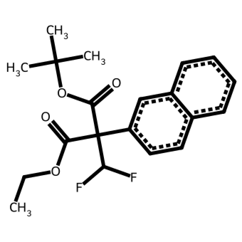 CCOC(=O)C(C(=O)OC(C)(C)C)(c1ccc2ccccc2c1)C(F)F